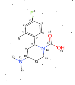 Cc1cc(F)ccc1C1CC(N(C)C)CCN1C(=O)O